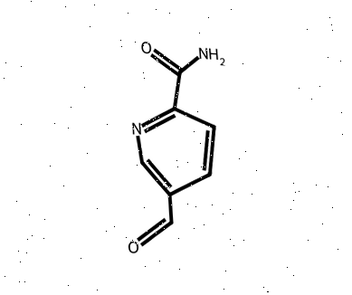 NC(=O)c1ccc(C=O)cn1